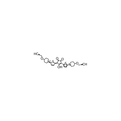 C#CCOC1CCN(c2ccc(C3=C(O)/C(=C4\C=CC(=[N+]5CCC(OCC#C)CC5)S4)C(=O)C3=O)s2)CC1